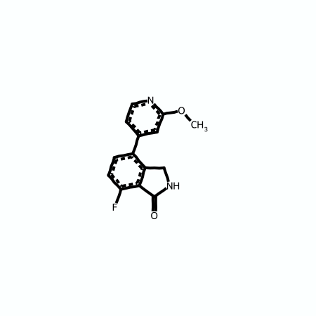 COc1cc(-c2ccc(F)c3c2CNC3=O)ccn1